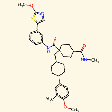 CNC(=O)C1CCC(C[C@H]2CC[C@H](c3ccc(OC)c(C)c3)CC2)(C(=O)Nc2cccc(-c3cnc(OC)s3)c2)CC1